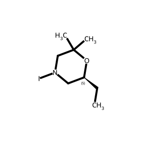 CC[C@H]1CN(I)CC(C)(C)O1